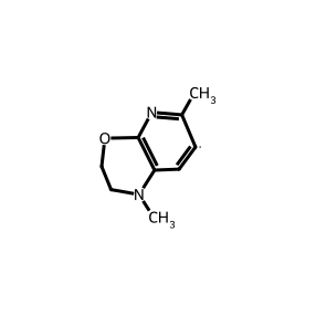 Cc1[c]cc2c(n1)OCCN2C